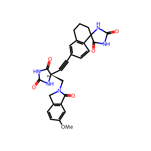 COc1ccc2c(c1)C(=O)N(C[C@@]1(C#Cc3ccc4c(c3)CCCC43NC(=O)NC3=O)NC(=O)NC1=O)C2